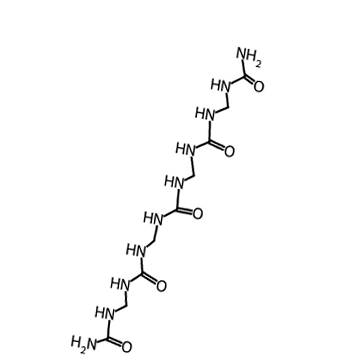 NC(=O)NCNC(=O)NCNC(=O)NCNC(=O)NCNC(N)=O